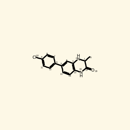 CC1Nc2cc(-c3ccc(Cl)cc3)ccc2NC1=O